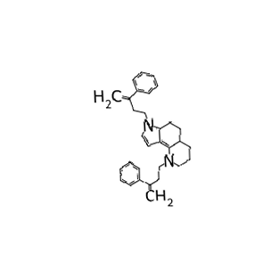 C=C(CCN1CCCC2CCC3C(=C21)C=CN3CCC(=C)c1ccccc1)c1ccccc1